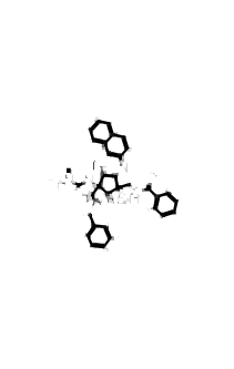 CCN(CC)C(=O)N[C@@]1([C@H](C)OCc2ccccc2)[C@@H](N)[C@H](Nc2ccc3ccccc3c2)[C@](O)(COC(=O)c2ccccc2)[C@@]1(O)C(C)C